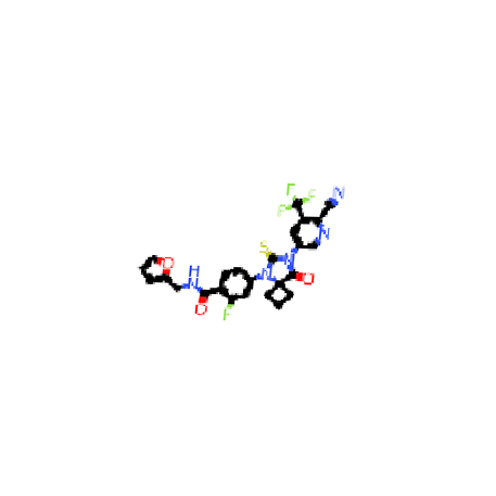 N#Cc1ncc(N2C(=O)C3(CCC3)N(c3ccc(C(=O)NCc4ccco4)c(F)c3)C2=S)cc1C(F)(F)F